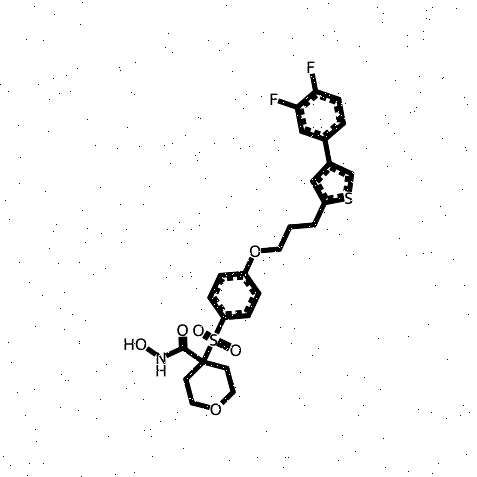 O=C(NO)C1(S(=O)(=O)c2ccc(OCCCc3cc(-c4ccc(F)c(F)c4)cs3)cc2)CCOCC1